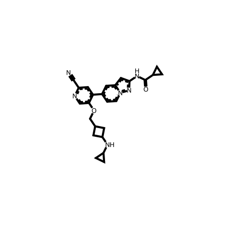 N#Cc1cc(-c2ccn3nc(NC(=O)C4CC4)cc3c2)c(OCC2CC(NC3CC3)C2)cn1